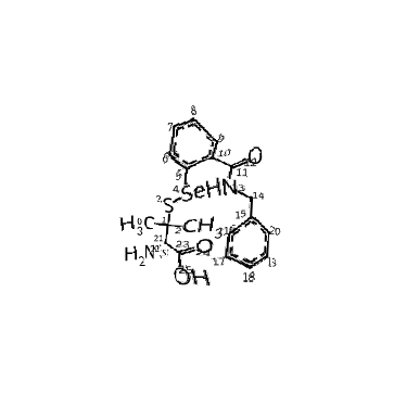 CC(C)(S[Se]c1ccccc1C(=O)NCc1ccccc1)[C@@H](N)C(=O)O